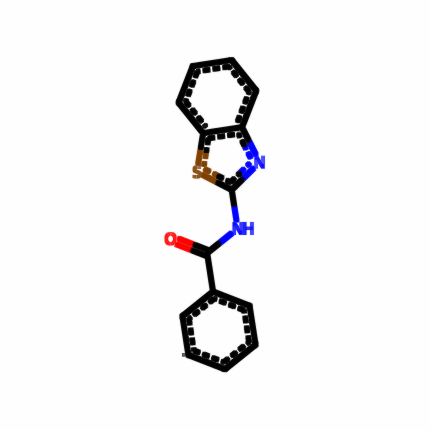 O=C(Nc1nc2ccccc2s1)c1c[c]ccc1